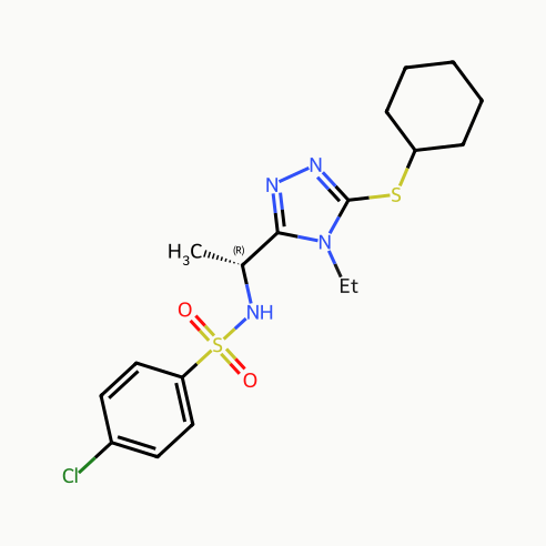 CCn1c(SC2CCCCC2)nnc1[C@@H](C)NS(=O)(=O)c1ccc(Cl)cc1